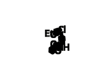 CCOc1ccc(Cl)c(CC2CCN(Cc3cc(=O)n(-c4ccccc4)c(=O)[nH]3)CC2)c1